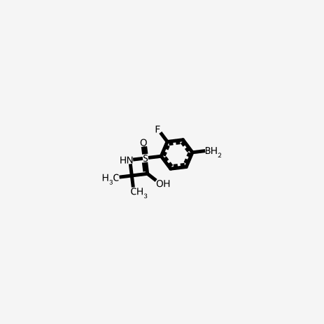 Bc1ccc(S2(=O)=C(O)C(C)(C)N2)c(F)c1